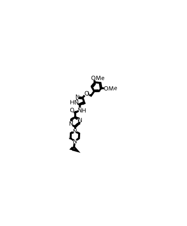 COc1cc(COc2cc(NC(=O)c3cnc(N4CCN(C5CC5)CC4)cn3)[nH]n2)cc(OC)c1